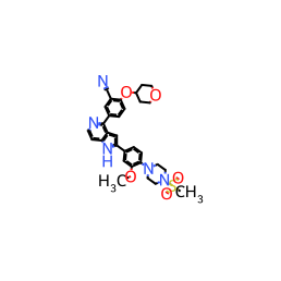 COc1cc(-c2cc3c(-c4ccc(OC5CCOCC5)c(C#N)c4)nccc3[nH]2)ccc1N1CCN(S(C)(=O)=O)CC1